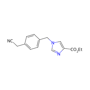 CCOC(=O)c1cn(Cc2ccc(CC#N)cc2)cn1